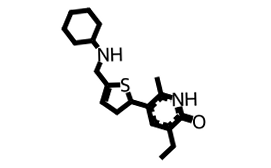 CCc1cc(C2CC=C(CNC3CCCCC3)S2)c(C)[nH]c1=O